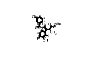 CCCCOC(=O)[C@@H](C)c1c(C)n(C(=O)c2cccc(Cl)c2)c2cc(F)c(O)c(F)c12